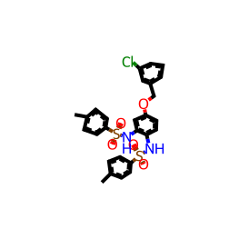 Cc1ccc(S(=O)(=O)Nc2ccc(OCc3cccc(Cl)c3)cc2NS(=O)(=O)c2ccc(C)cc2)cc1